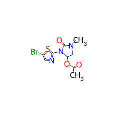 CC(=O)OC1CN(C)C(=O)N1c1ncc(Br)s1